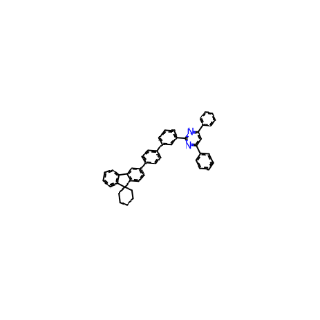 c1ccc(-c2cc(-c3ccccc3)nc(-c3cccc(-c4ccc(-c5ccc6c(c5)-c5ccccc5C65CCCCC5)cc4)c3)n2)cc1